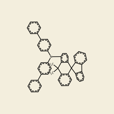 CC1(C)c2ccccc2C2(c3ccccc3-c3ccccc32)c2cccc(N(c3ccc(-c4ccccc4)cc3)c3ccc(-c4ccccc4)cc3)c21